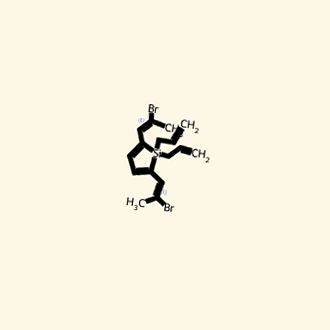 C=CC[Si]1(CC=C)C(/C=C(\C)Br)=CC=C1/C=C(\C)Br